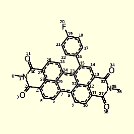 CN1C(=O)c2ccc3c4ccc5c6c(cc(-c7ccc(F)cc7)c(c7ccc(c2c37)C1=O)c64)C(=O)N(C)C5=O